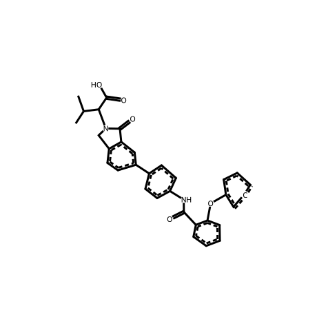 CC(C)C(C(=O)O)N1Cc2ccc(-c3ccc(NC(=O)c4ccccc4Oc4ccccc4)cc3)cc2C1=O